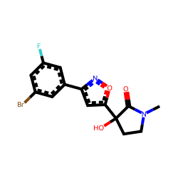 CN1CCC(O)(c2cc(-c3cc(F)cc(Br)c3)no2)C1=O